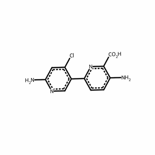 Nc1cc(Cl)c(-c2ccc(N)c(C(=O)O)n2)cn1